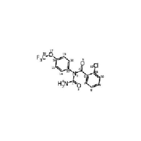 NC(=O)N(C(=O)c1ccccc1Cl)c1ccc(OC(F)(F)F)cc1